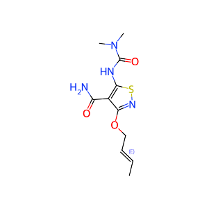 C/C=C/COc1nsc(NC(=O)N(C)C)c1C(N)=O